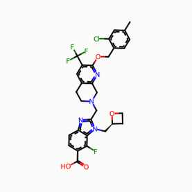 Cc1ccc(COc2nc3c(cc2C(F)(F)F)CCN(Cc2nc4ccc(C(=O)O)c(F)c4n2C[C@@H]2CCO2)C3)c(Cl)c1